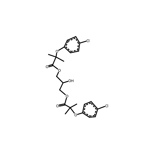 CC(C)(Oc1ccc(Cl)cc1)C(=O)OCC(O)COC(=O)C(C)(C)Oc1ccc(Cl)cc1